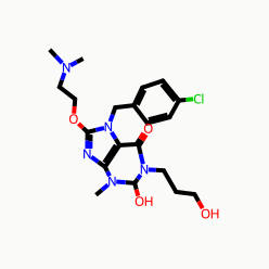 CN(C)CCOc1nc2c(n1Cc1ccc(Cl)cc1)C(=O)N(CCCO)C(O)N2C